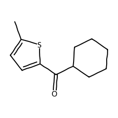 Cc1ccc(C(=O)C2CCCCC2)s1